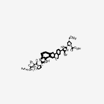 COC[C@H]1C[C@@H](c2nc(Br)c(-c3ccc4c(c3)COc3cc5c(ccc6nc([C@@H]7CC[C@H](C)N7C(=O)[C@@H](NC(=O)OC)C(C)C)[nH]c65)cc3-4)[nH]2)N(C(=O)OC(C)(C)C)C1